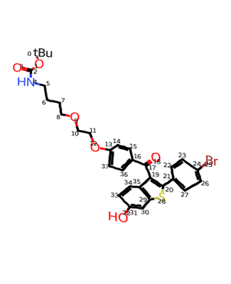 CC(C)(C)OC(=O)NCCCCOCCOc1ccc(C(=O)c2c(-c3ccc(Br)cc3)sc3cc(O)ccc23)cc1